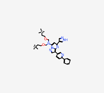 C[Si](C)(C)CCOCN(COCC[Si](C)(C)C)c1cc(-c2cn[nH]c2)nc2c(-c3ccc(-c4ccccc4)nc3)cnn12